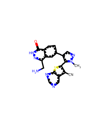 Cn1ncc(-c2ccc3c(=O)[nH]nc(CN)c3c2)c1-c1sc2ncncc2c1C#N